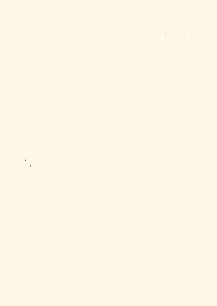 O=CCCCCCCc1ncc(-c2ccccc2)o1